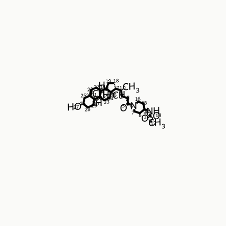 C[C@H](CCC(=O)N1CCC(NS(C)(=O)=O)CC1)[C@H]1CC[C@H]2[C@@H]3CC=C4C[C@@H](O)CC[C@]4(C)[C@H]3CC[C@]12C